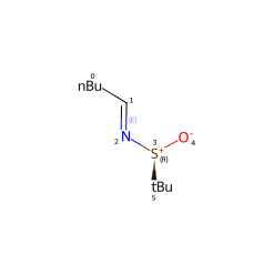 CCCC/C=N/[S@@+]([O-])C(C)(C)C